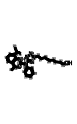 CC(C)c1cccc(C(C)C)c1NC(=O)N(c1ccccc1)c1nnn(CCCCCCCCO)n1